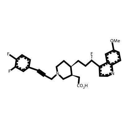 COc1ccc2nccc([C@@H](F)CC[C@@H]3CCN(CC#Cc4ccc(F)c(F)c4)C[C@@H]3CC(=O)O)c2c1